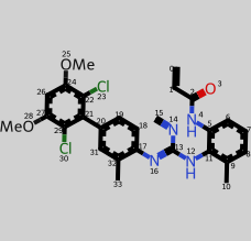 C=CC(=O)Nc1cccc(C)c1N/C(N=C)=N/c1ccc(-c2c(Cl)c(OC)cc(OC)c2Cl)cc1C